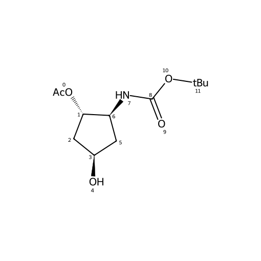 CC(=O)O[C@H]1C[C@H](O)C[C@@H]1NC(=O)OC(C)(C)C